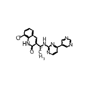 C[C@H](Nc1nccc(-c2cncnc2)n1)c1cc2cccc(Cl)c2[nH]c1=O